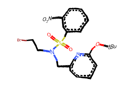 CC(C)(C)Oc1cccc(CN(CCBr)S(=O)(=O)c2ccccc2[N+](=O)[O-])n1